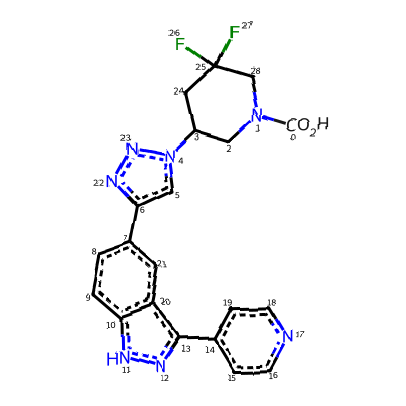 O=C(O)N1CC(n2cc(-c3ccc4[nH]nc(-c5ccncc5)c4c3)nn2)CC(F)(F)C1